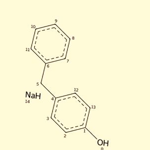 Oc1ccc(Cc2ccccc2)cc1.[NaH]